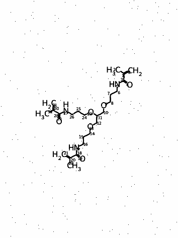 C=C(C)C(=O)NCCCOCC(COCCCNC(=O)C(=C)C)OCCCNC(=O)C(=C)C